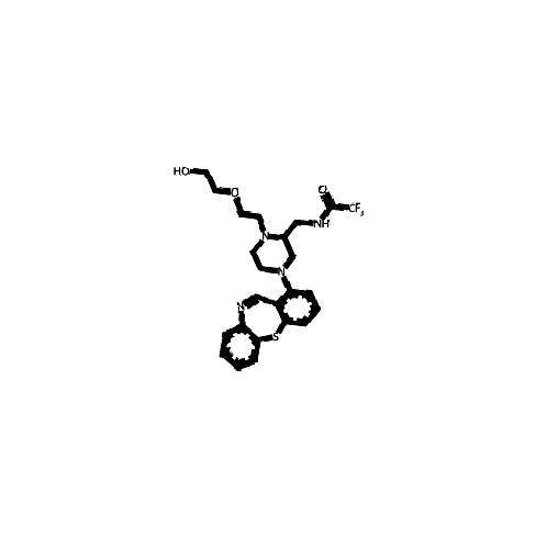 O=C(NCC1CN(c2cccc3c2C=Nc2ccccc2S3)CCN1CCOCCO)C(F)(F)F